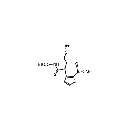 CCOC(=O)NC(=S)N(CCOC(C)C)c1ccoc1C(=O)OC